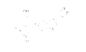 COc1cc(OC)cc(C(CCO)c2ccc3ncc(-c4cnn(C)c4)cc3c2)c1